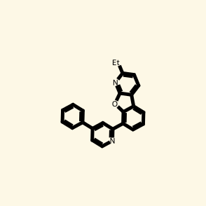 CCc1ccc2c(n1)oc1c(-c3cc(-c4ccccc4)ccn3)cccc12